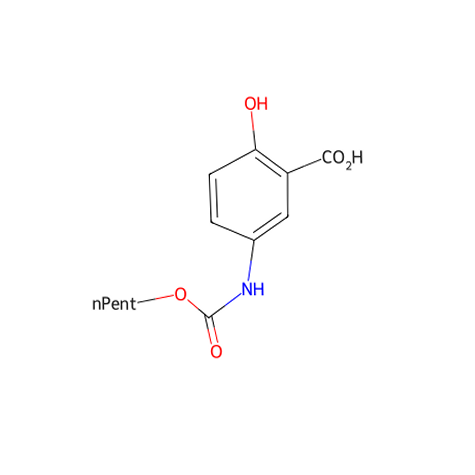 CCCCCOC(=O)Nc1ccc(O)c(C(=O)O)c1